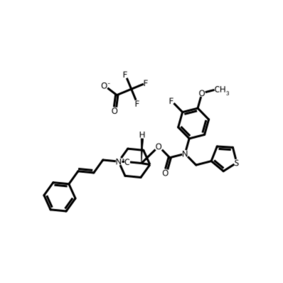 COc1ccc(N(Cc2ccsc2)C(=O)O[C@H]2C[N+]3(CC=Cc4ccccc4)CCC2CC3)cc1F.O=C([O-])C(F)(F)F